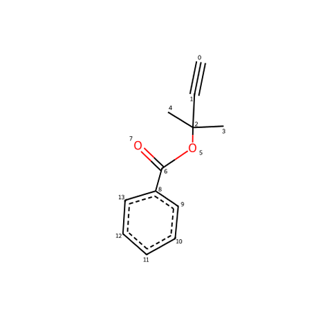 C#CC(C)(C)OC(=O)c1ccccc1